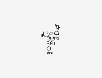 CCCCc1ccc(C(=O)N[C@@H](CNC(=O)c2ccc(-n3cncn3)cc2)C(=O)N[C@@H](CC(C)C)B(O)O)cc1